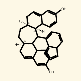 OC1=CC2=CC[C@H]3CC[C@H]4CC=C5C=C(O)C=CC5[C@H]4C(C4=CC=CC5C=CC=C45)C3C2C=C1